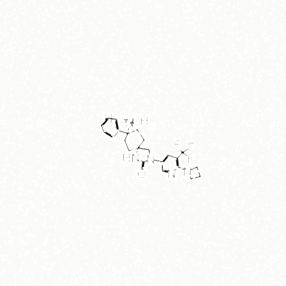 CN(C)[C@]1(c2ccccc2)CC[C@@]2(CC1)CN(c1cnc(N3CCC3)c(C(F)(F)F)c1)C(=O)N2